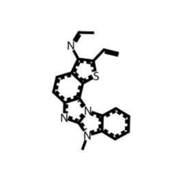 C=Cc1sc2c(ccc3nc4n(C)c5ccccc5n4c32)c1/N=C\C